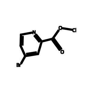 O=C(OCl)c1cc(Br)ccn1